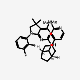 CNc1nc(NC2[C@@H]3CC[C@H]2CN(c2ccnc(OC)c2)C3)nc2c1C(C)(C)CN2c1cccc(F)c1F